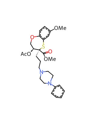 COC(=O)[C@]1(CCCN2CCN(c3ccccc3)CC2)Sc2cc(OC)ccc2OC[C@@H]1OC(C)=O